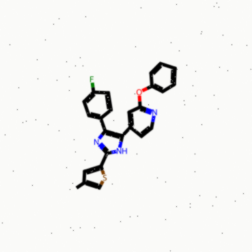 Cc1csc(-c2nc(-c3ccc(F)cc3)c(-c3ccnc(Oc4ccccc4)c3)[nH]2)c1